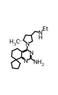 CCNCC1C[C@@H](C)N(c2nc(N)nc3c2CCCC32CCCC2)C1